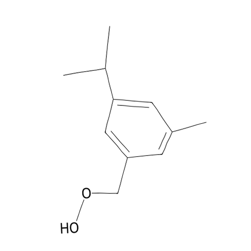 Cc1cc(COO)cc(C(C)C)c1